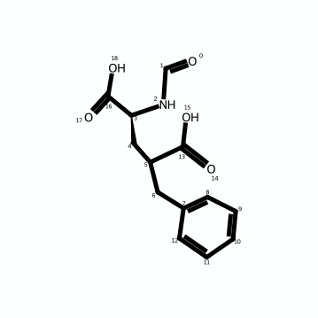 O=CN[C@@H](CC(Cc1ccccc1)C(=O)O)C(=O)O